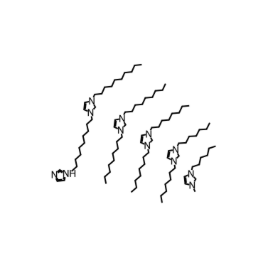 CCCCCCCCCCN1C=CN(CCCCCCCCCC)C1.CCCCCCCCCN1C=CN(CCCCCCCCC)C1.CCCCCCCCN1C=CN(CCCCCCCC)C1.CCCCCCCN1C=CN(CCCCCCC)C1.CCCCCCN1C=CN(C)C1.c1c[nH]cn1